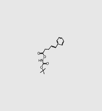 CC(C)(C)OC(=O)NOC(=O)CCC=Cc1ccccc1